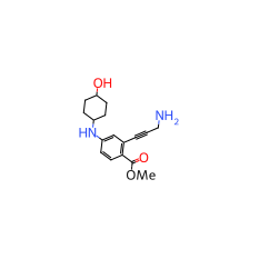 COC(=O)c1ccc(NC2CCC(O)CC2)cc1C#CCN